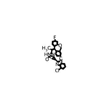 CC(=C1c2ccc(Cn3c(C4CC4)nc4c(Cl)cccc43)cc2COc2cc(F)ccc21)c1noc(=O)[nH]1